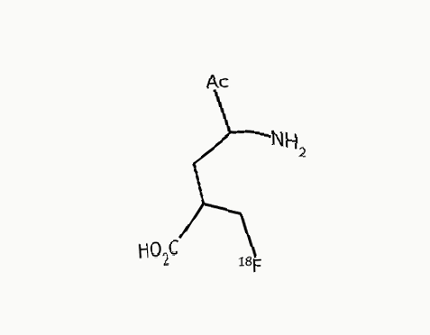 CC(=O)C(N)CC(C[18F])C(=O)O